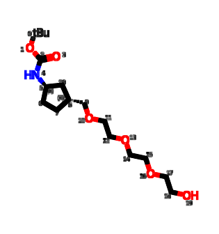 CC(C)(C)OC(=O)N[C@@H]1CC[C@@H](COCCOCCOCCO)C1